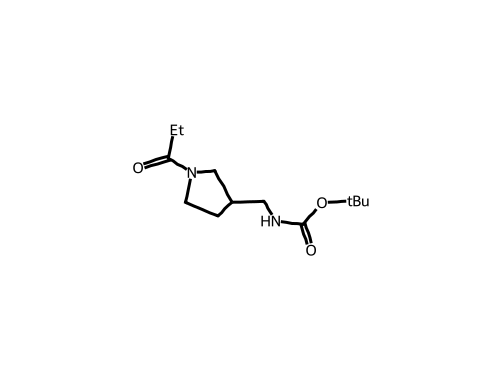 CCC(=O)N1CCC(CNC(=O)OC(C)(C)C)C1